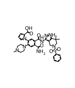 CN1CCN(c2cc(C(N)=O)c(C(=O)Nc3n[nH]c4c3CN(S(=O)(=O)c3ccccc3)CC4(C)C)cc2-n2cccc2C(=O)O)CC1